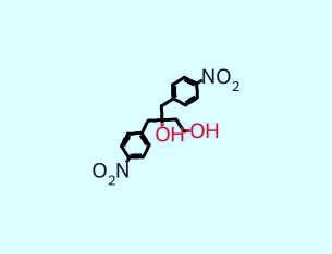 O=[N+]([O-])c1ccc(CC(O)(CCO)Cc2ccc([N+](=O)[O-])cc2)cc1